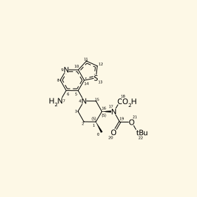 C[C@H]1CCN(c2c(N)cnc3ccsc23)C[C@H]1N(C(=O)O)C(=O)OC(C)(C)C